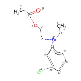 CCN(CCOC(C)=O)c1cccc(Cl)c1